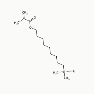 C=C(C)C(=O)OCCCCC[CH]CCC[N+](C)(C)C